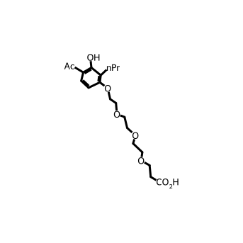 CCCc1c(OCCOCCOCCOCCC(=O)O)ccc(C(C)=O)c1O